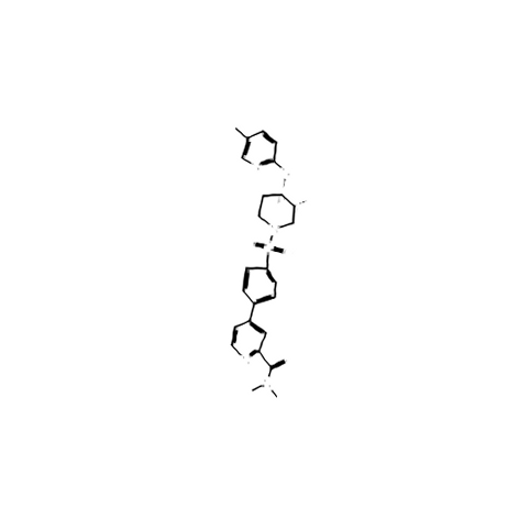 Cc1ccc(N[C@@H]2CCN(S(=O)(=O)c3ccc(-c4ccnc(C(=O)N(C)C)c4)cc3)C[C@@H]2O)nc1